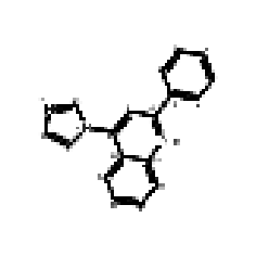 c1ccc(-c2cc(-n3ccnc3)c3ccccc3n2)cc1